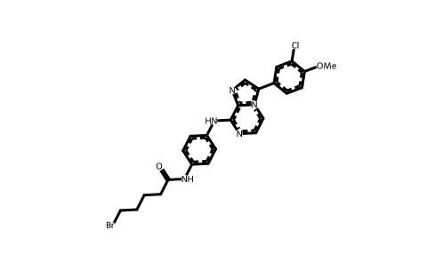 COc1ccc(-c2cnc3c(Nc4ccc(NC(=O)CCCCBr)cc4)nccn23)cc1Cl